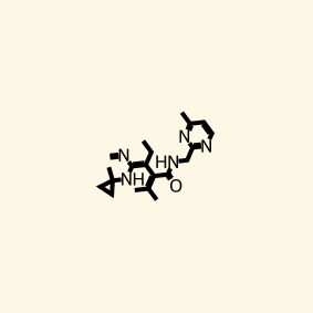 C=N/C(NC1(C)CC1)=C(\CC)C(C(=O)NCc1nccc(C)n1)=C(C)C